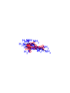 CC(C)[C@H](NC(=O)[C@H](CCCCN)NC(=O)[C@H](CCCNC(=N)N)NC(=O)[C@@H]1CCCN1C(=O)[C@H](CCCCN)NC(=O)[C@H](C)NC(=O)[C@H](CCC(N)=O)NC(=O)[C@@H]1CCCN1C(=O)[C@@H](NC(=O)[C@@H]1CCCN1C(=O)[C@H](CCC(N)=O)NC(=O)[C@@H](N)CCCCN)C(C)C)C(=O)N[C@@H](C)C(=O)N[C@@H](C)C(=O)N[C@@H](CCC(N)=O)C(=O)O